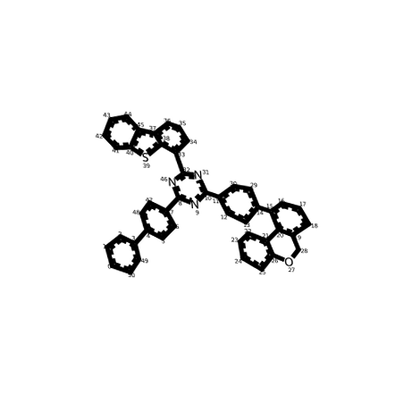 c1ccc(-c2ccc(-c3nc(-c4ccc(-c5cccc6c5-c5ccccc5OC6)cc4)nc(-c4cccc5c4sc4ccccc45)n3)cc2)cc1